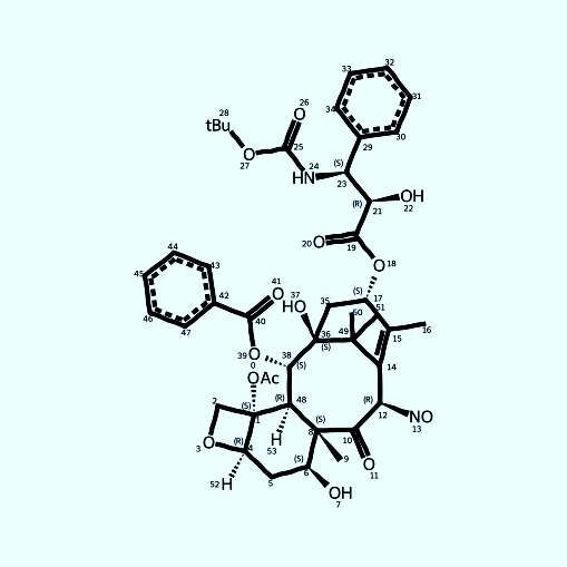 CC(=O)O[C@@]12CO[C@@H]1C[C@H](O)[C@@]1(C)C(=O)[C@H](N=O)C3=C(C)[C@@H](OC(=O)[C@H](O)[C@@H](NC(=O)OC(C)(C)C)c4ccccc4)C[C@@](O)([C@@H](OC(=O)c4ccccc4)[C@H]21)C3(C)C